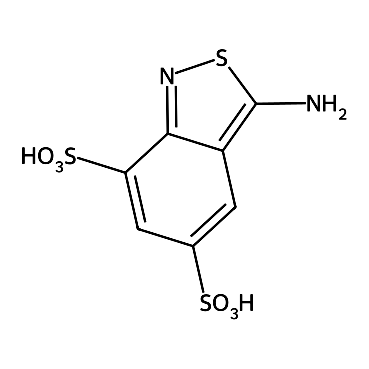 Nc1snc2c(S(=O)(=O)O)cc(S(=O)(=O)O)cc12